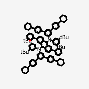 CC(C)(C)c1cc(N(c2cc(-c3ccc(C4CCCCC4)cc3)cc(-c3ccc(C4CCCCC4)cc3)c2)c2c3ccc(-c4ccccc4)cc3c(N(c3cc(-c4ccc(C5CCCCC5)cc4)cc(-c4ccc(C5CCCCC5)cc4)c3)c3cc(C(C)(C)C)cc(C(C)(C)C)c3)c3ccc(-c4ccccc4)cc23)cc(C(C)(C)C)c1